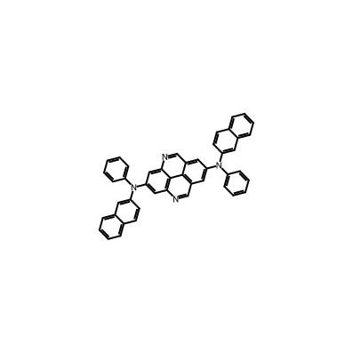 c1ccc(N(c2ccc3ccccc3c2)c2cc3cnc4cc(N(c5ccccc5)c5ccc6ccccc6c5)cc5ncc(c2)c3c45)cc1